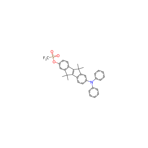 CC1(C)C2=C(c3ccc(OS(=O)(=O)C(F)(F)F)cc31)C(C)(C)c1cc(N(c3ccccc3)c3ccccc3)ccc12